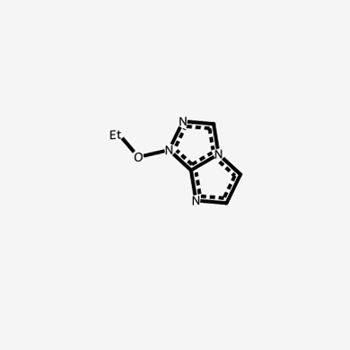 CCOn1ncn2ccnc12